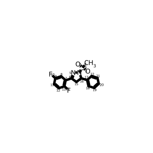 CS(=O)(=O)N1N=C(c2cc(F)ccc2F)CC1c1ccccc1